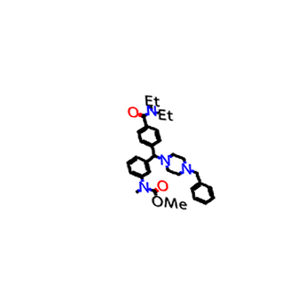 CCN(CC)C(=O)c1ccc(C(c2cccc(N(C)C(=O)OC)c2)N2CCN(Cc3ccccc3)CC2)cc1